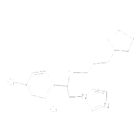 Clc1ccc(C(Cn2ccnc2)SCCCC2CCCC2)c(Cl)c1